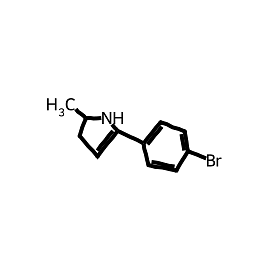 CC1CC=C(c2ccc(Br)cc2)N1